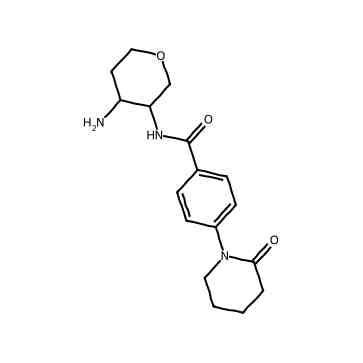 NC1CCOCC1NC(=O)c1ccc(N2CCCCC2=O)cc1